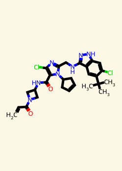 C=CC(=O)N1CC(NC(=O)c2c(Cl)nc(CNc3n[nH]c4cc(Cl)c(C(C)(C)C)cc34)n2C2CC=CC2)C1